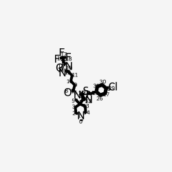 CN1CCC(CNC(=O)CCCc2noc(C(F)(F)F)n2)(c2csc(-c3ccc(Cl)cc3)n2)CC1